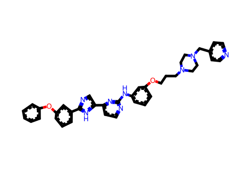 c1ccc(Oc2cccc(-c3ncc(-c4ccnc(Nc5cccc(OCCCN6CCN(Cc7ccncc7)CC6)c5)n4)[nH]3)c2)cc1